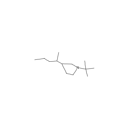 CCCC(C)C1CCN(C(C)(C)C)C1